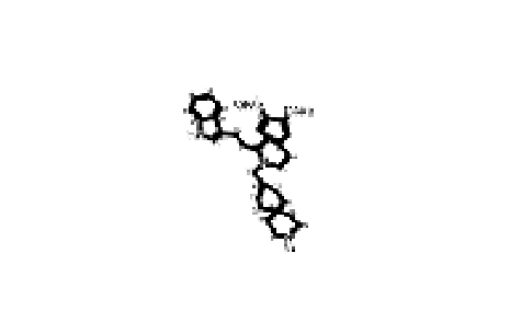 COc1cc2c(cc1OC)C(CCc1c[nH]c3ccccc13)N(CC1CCC3(CCNCC3)CC1)CC2